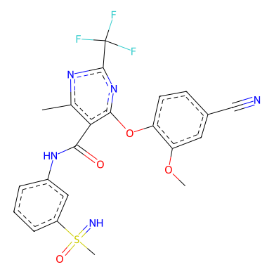 COc1cc(C#N)ccc1Oc1nc(C(F)(F)F)nc(C)c1C(=O)Nc1cccc(S(C)(=N)=O)c1